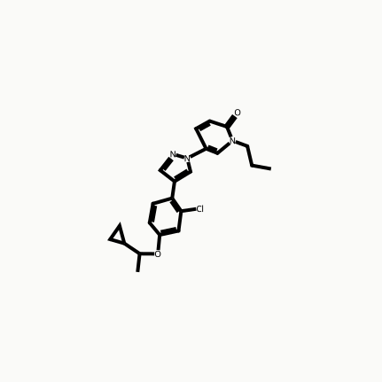 CCCn1cc(-n2cc(-c3ccc(OC(C)C4CC4)cc3Cl)cn2)ccc1=O